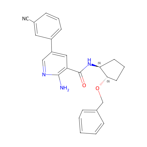 N#Cc1cccc(-c2cnc(N)c(C(=O)N[C@H]3CCC[C@@H]3OCc3ccccc3)c2)c1